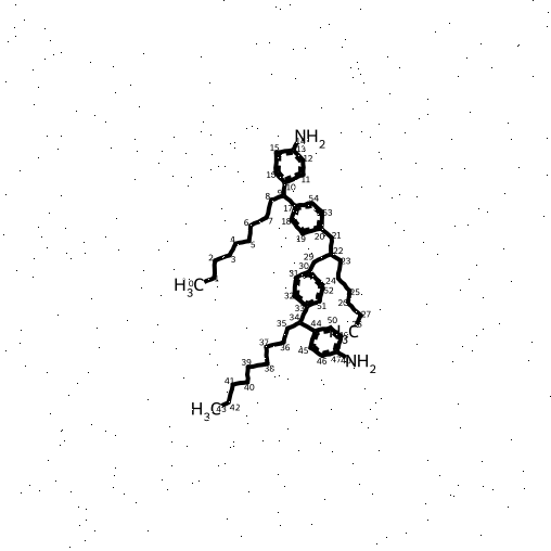 CCCCCCCCCC(c1ccc(N)cc1)c1ccc(CC(CCCCCC)Cc2ccc(C(CCCCCCCCC)c3ccc(N)cc3)cc2)cc1